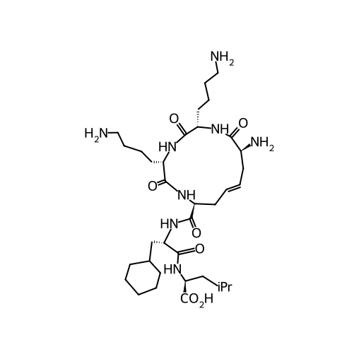 CC(C)C[C@H](NC(=O)[C@H](CC1CCCCC1)NC(=O)[C@@H]1C/C=C/C[C@H](N)C(=O)N[C@@H](CCCCN)C(=O)N[C@@H](CCCCN)C(=O)N1)C(=O)O